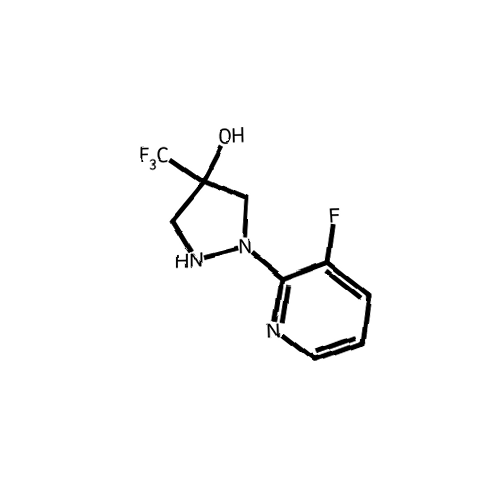 OC1(C(F)(F)F)CNN(c2ncccc2F)C1